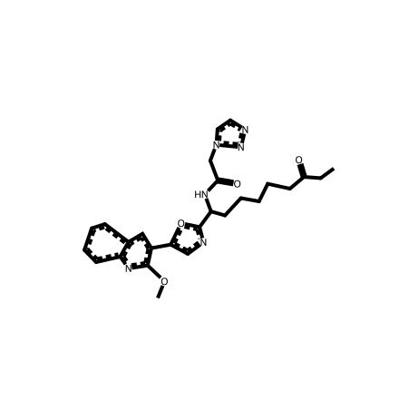 CCC(=O)CCCCCC(NC(=O)Cn1ccnn1)c1ncc(-c2cc3ccccc3nc2OC)o1